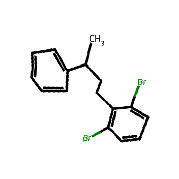 CC(CCc1c(Br)cccc1Br)c1ccccc1